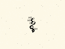 O=C(O)C(O)C1OCCN(c2cccc(C3(O)CCC3)n2)C1=O